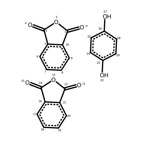 O=C1OC(=O)c2ccccc21.O=C1OC(=O)c2ccccc21.Oc1ccc(O)cc1